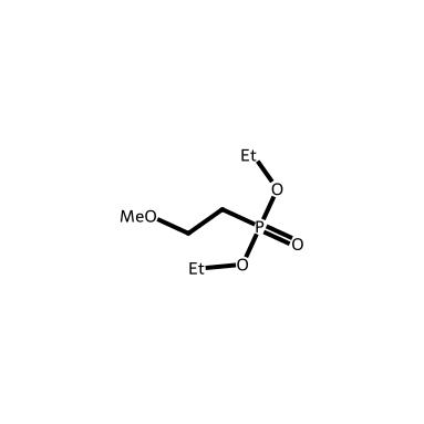 CCOP(=O)(CCOC)OCC